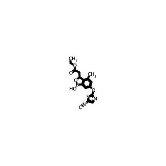 [C-]#[N+]c1cnc(Oc2cc(C)c3c(c2)B(O)OC3CC(=O)OCC)s1